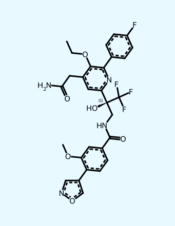 CCOc1c(CC(N)=O)cc([C@@](O)(CNC(=O)c2ccc(-c3cnoc3)c(OC)c2)C(F)(F)F)nc1-c1ccc(F)cc1